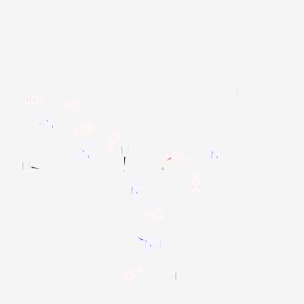 CC(C)COC(=O)N[C@H]1CCCCC/C=C\[C@@H]2C[C@@]2(C(=O)NS(=O)(=O)c2cc(Cl)sc2Cl)NC(=O)[C@@H]2C[C@@H](OC(=O)N3Cc4cccc(F)c4C3)CN2C1=O